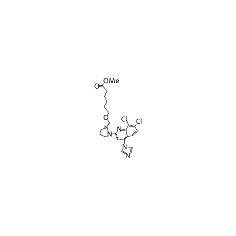 COC(=O)CCCCCOC[C@@H]1CCCN1c1cc(-n2ccnc2)c2ccc(Cl)c(Cl)c2n1